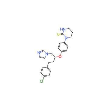 S=C1NCCCN1c1ccc(OC(CCc2ccc(Cl)cc2)Cn2ccnc2)cc1